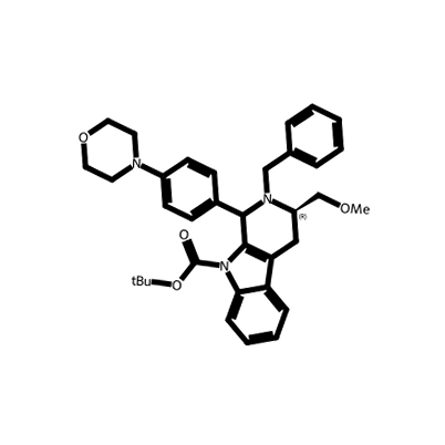 COC[C@H]1Cc2c(n(C(=O)OC(C)(C)C)c3ccccc23)C(c2ccc(N3CCOCC3)cc2)N1Cc1ccccc1